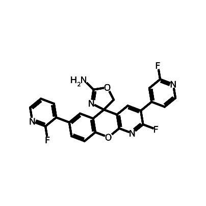 NC1=NC2(CO1)c1cc(-c3cccnc3F)ccc1Oc1nc(F)c(-c3ccnc(F)c3)cc12